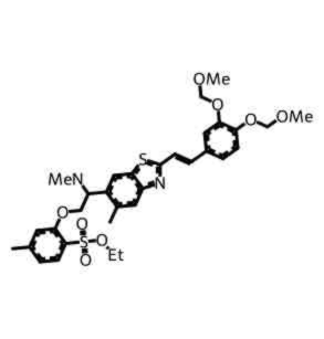 CCOS(=O)(=O)c1ccc(C)cc1OCC(NC)c1cc2sc(/C=C/c3ccc(OCOC)c(OCOC)c3)nc2cc1C